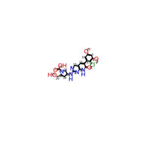 COc1cc(OC)c(Cl)c(-c2cc3cnc(N[C@H]4C[C@@H](CO)N(C(=O)O)C4)nc3[nH]c2=O)c1